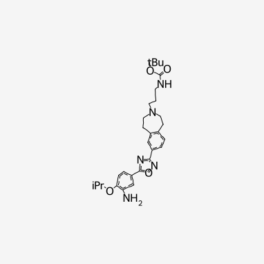 CC(C)Oc1ccc(-c2nc(-c3ccc4c(c3)CCN(CCCNC(=O)OC(C)(C)C)CC4)no2)cc1N